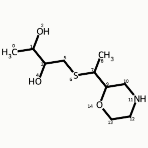 CC(O)C(O)CSC(C)C1CNCCO1